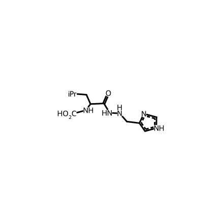 CC(C)CC(NC(=O)O)C(=O)NNCc1c[nH]cn1